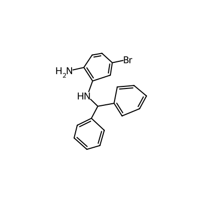 Nc1ccc(Br)cc1NC(c1ccccc1)c1ccccc1